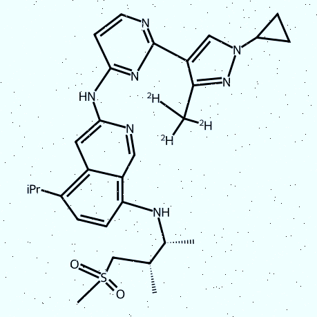 [2H]C([2H])([2H])c1nn(C2CC2)cc1-c1nccc(Nc2cc3c(C(C)C)ccc(N[C@H](C)[C@H](C)CS(C)(=O)=O)c3cn2)n1